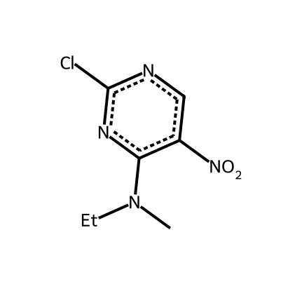 CCN(C)c1nc(Cl)ncc1[N+](=O)[O-]